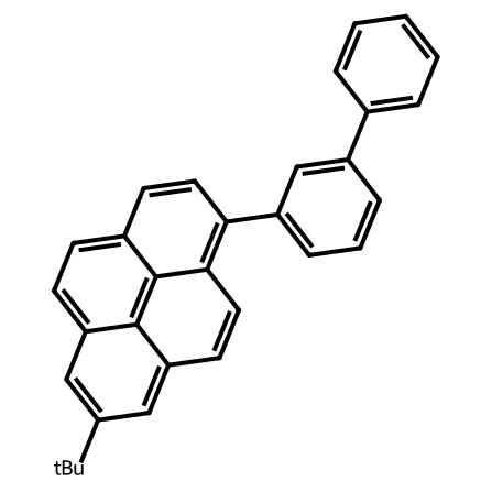 CC(C)(C)c1cc2ccc3ccc(-c4cccc(-c5ccccc5)c4)c4ccc(c1)c2c34